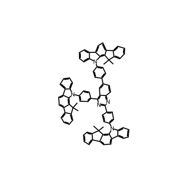 CC1(C)c2ccccc2-c2ccc3c4ccccc4n(-c4ccc(-c5ccc6nc(-c7ccc(-n8c9ccccc9c9ccc%10c(c98)C(C)(C)c8ccccc8-%10)cc7)nc(-c7ccc(-n8c9ccccc9c9ccc%10c(c98)C(C)(C)c8ccccc8-%10)cc7)c6c5)cc4)c3c21